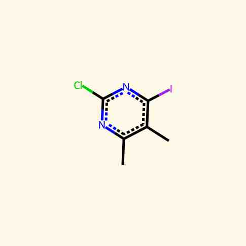 Cc1nc(Cl)nc(I)c1C